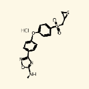 CNc1nc(-c2ccc(Oc3ccc(S(=O)(=O)CC4CS4)cc3)cc2)no1.Cl